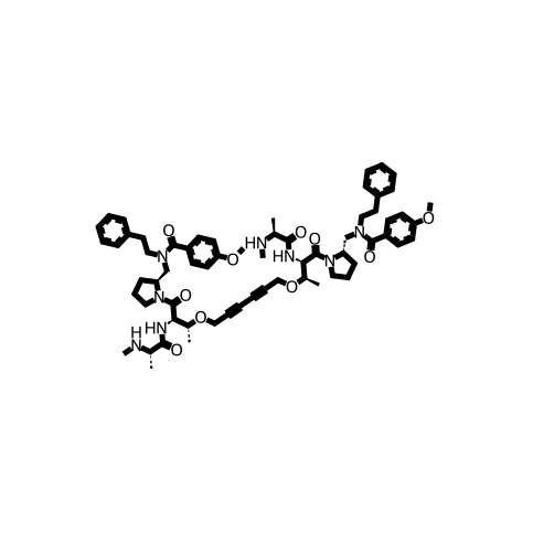 CN[C@@H](C)C(=O)N[C@H](C(=O)N1CCC[C@H]1CN(CCc1ccccc1)C(=O)c1ccc(OC)cc1)[C@@H](C)OCC#CC#CCO[C@H](C)[C@H](NC(=O)[C@H](C)NC)C(=O)N1CCC[C@H]1CN(CCc1ccccc1)C(=O)c1ccc(OC)cc1